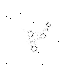 COC1=CC(Nc2nc3ccccc3nc2NS(=O)(=O)c2cccc(NC(=O)c3ccsc3)c2)CC(OC)=C1